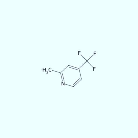 [CH2]c1cc(C(F)(F)F)ccn1